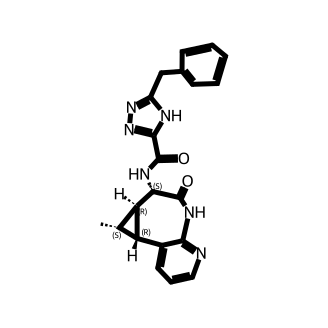 C[C@H]1[C@H]2c3cccnc3NC(=O)[C@@H](NC(=O)c3nnc(Cc4ccccc4)[nH]3)[C@H]12